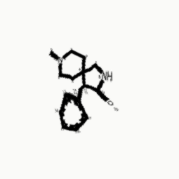 CN1CCC2(CC1)CNC(=O)C2c1ccccc1